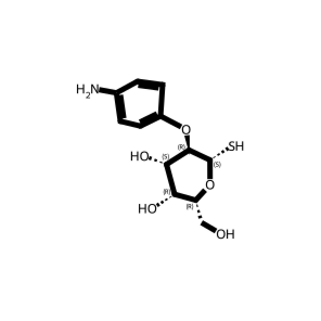 Nc1ccc(O[C@@H]2[C@@H](O)[C@@H](O)[C@@H](CO)O[C@H]2S)cc1